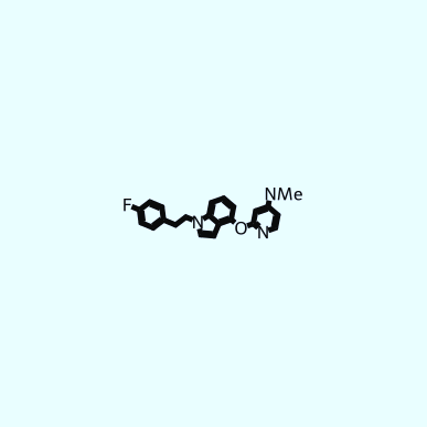 CNc1ccnc(Oc2cccc3c2ccn3CCc2ccc(F)cc2)c1